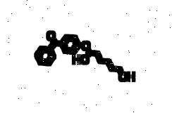 O=C(c1ccccc1)c1ccc(OC(O)CCCCCO)cc1